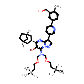 COc1ccc(-c2ccc(-c3cnn4c(N(COCC[Si](C)(C)C)COCC[Si](C)(C)C)c(Br)c([C@H]5C[C@@H]6CC[C@@H](C6)C5)nc34)cn2)cc1CO